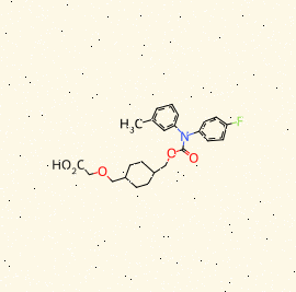 Cc1cccc(N(C(=O)OCC2CCC(COCC(=O)O)CC2)c2ccc(F)cc2)c1